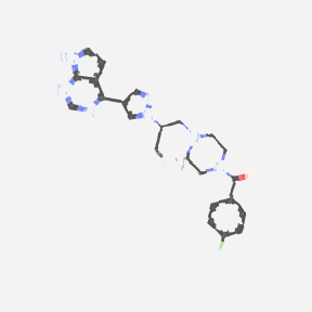 N#CCC(CN1CCN(C(=O)c2ccc(F)cc2)CC1)n1cc(-c2ncnc3[nH]ccc23)cn1